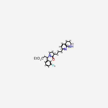 CCOC(=O)CC(c1cccc(F)c1)N1CCC(CCCc2ccc3c(n2)NCCC3)C1=O